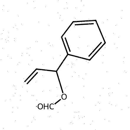 C=CC(O[C]=O)c1ccccc1